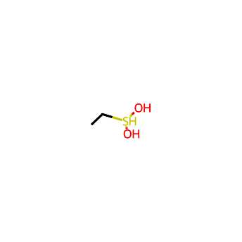 CC[SH](O)O